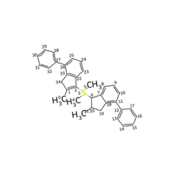 CC1=C(S(C)(C)C2c3cccc(-c4ccccc4)c3CC2C)c2cccc(-c3ccccc3)c2C1